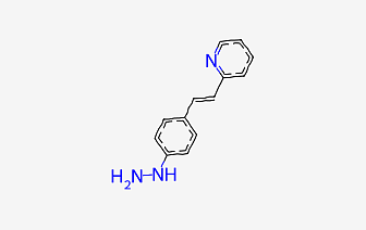 NNc1ccc(C=Cc2ccccn2)cc1